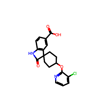 O=C(O)c1ccc2c(c1)C1(CCC(Oc3ncccc3Cl)CC1)C(=O)N2